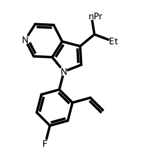 C=Cc1cc(F)ccc1-n1cc(C(CC)CCC)c2ccncc21